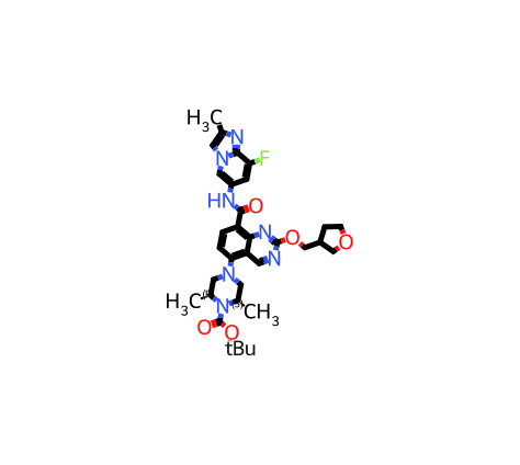 Cc1cn2cc(NC(=O)c3ccc(N4C[C@@H](C)N(C(=O)OC(C)(C)C)[C@@H](C)C4)c4cnc(OCC5CCOC5)nc34)cc(F)c2n1